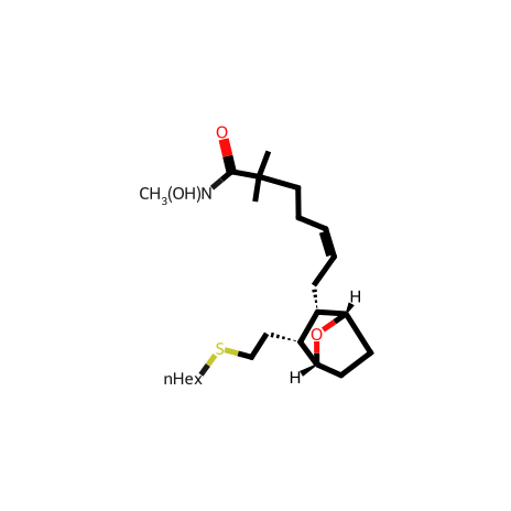 CCCCCCSCC[C@@H]1[C@H](C/C=C\CCC(C)(C)C(=O)N(C)O)[C@@H]2CC[C@H]1O2